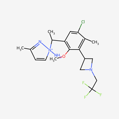 COc1c(C(C)[N+]2(N)C=CC(C)=N2)cc(Cl)c(C)c1C1CN(CC(F)(F)F)C1